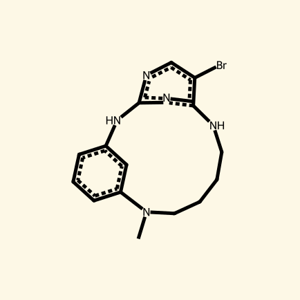 CN1CCCCNc2nc(ncc2Br)Nc2cccc1c2